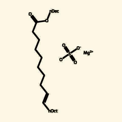 CCCCCCCCC=CCCCCCCCC(=O)OCCCCCCCCCC.O=S(=O)([O-])[O-].[Mg+2]